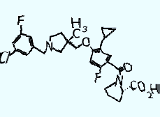 C[C@]1(COc2cc(F)c(C(=O)N3CCC[C@H]3C(=O)O)cc2C2CC2)CCN(Cc2cc(F)cc(Cl)c2)C1